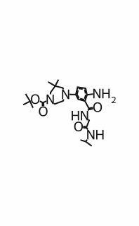 CC(C)NC(=O)CNC(=O)c1cc(N2CCN(C(=O)OC(C)(C)C)CC(C)(C)C2)ccc1N